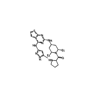 CCC1CC(Nc2nc(Nc3cc(C)[nH]n3)c3ccsc3n2)CC(CC)N1C(=O)C1CCCN1